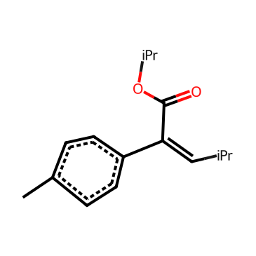 Cc1ccc(C(=CC(C)C)C(=O)OC(C)C)cc1